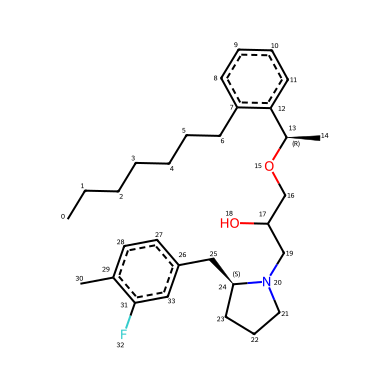 CCCCCCCc1ccccc1[C@@H](C)OCC(O)CN1CCC[C@H]1Cc1ccc(C)c(F)c1